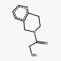 CC(C)(C)[CH]C(=O)N1CCc2ncccc2C1